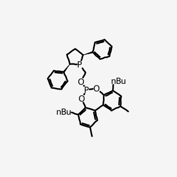 CCCCc1cc(C)cc2c1op(OCP1[C@@H](c3ccccc3)CC[C@H]1c1ccccc1)oc1c(CCCC)cc(C)cc12